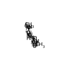 COc1cncc(-c2ccc3nnc(CNC(=O)c4ccc5c(c4)[C@](C)(C#N)COC5)cc3c2)n1